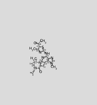 CCn1c(C(=O)N(C2CC2)C2CC2)cc2c3c(ncn3C)c(Nc3nc(C)c(C(C)=O)s3)nc21